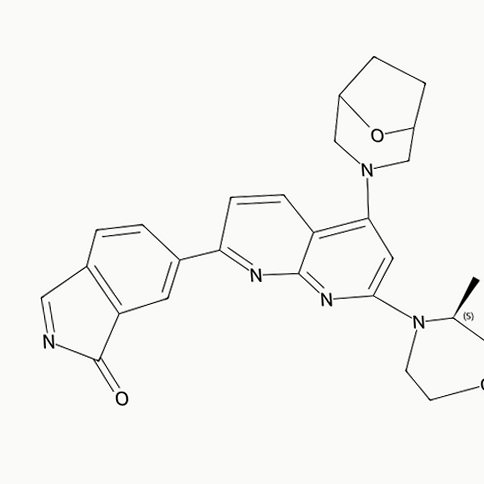 C[C@H]1COCCN1c1cc(N2CC3CCC(C2)O3)c2ccc(-c3ccc4c(c3)C(=O)N=C4)nc2n1